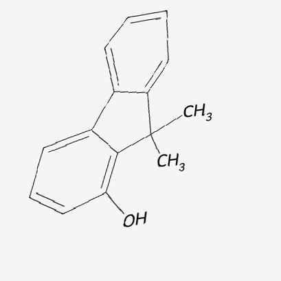 CC1(C)c2ccccc2-c2cccc(O)c21